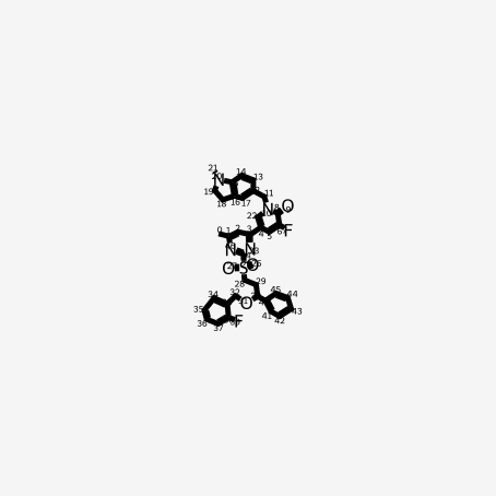 Cc1cc(-c2cc(F)c(=O)n(Cc3ccc4c(c3)CCN4C)c2)nc(S(=O)(=O)CCC(OCc2ccccc2F)c2ccccc2)n1